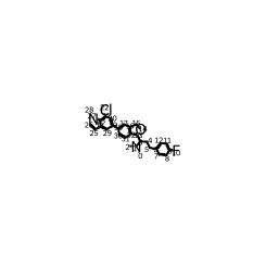 CN(C)C(CCc1ccc(F)cc1)C1OCc2cc(-c3cc(Cl)c4c(ccn4C)c3)ccc21